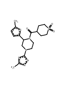 Cc1ccc(C2CN(c3nnc(C(F)(F)F)s3)CCN2C(=O)C2CCS(=O)(=O)CC2)s1